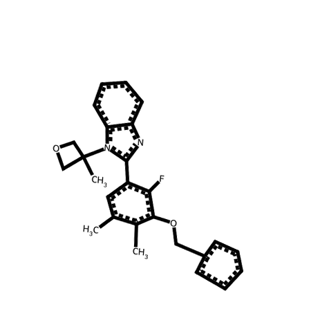 Cc1cc(-c2nc3ccccc3n2C2(C)COC2)c(F)c(OCc2ccccc2)c1C